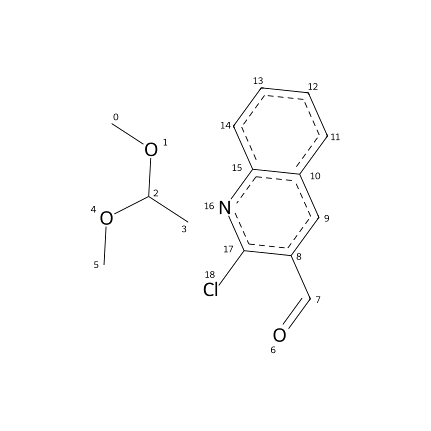 COC(C)OC.O=Cc1cc2ccccc2nc1Cl